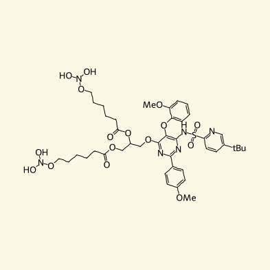 COc1ccc(-c2nc(NS(=O)(=O)c3ccc(C(C)(C)C)cn3)c(Oc3ccccc3OC)c(OCC(COC(=O)CCCCCON(O)O)OC(=O)CCCCCON(O)O)n2)cc1